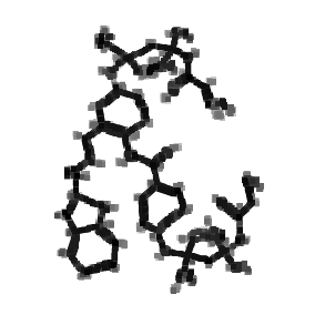 C=CC(=O)OC(C)(C)CC(C)(C)Oc1ccc(C(=O)Oc2ccc(OC(C)(C)CC(C)(C)OC(=O)C=C)cc2/C=N/Nc2nc3ccccc3s2)cc1